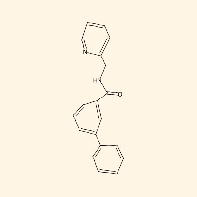 O=C(NCc1ccccn1)c1cccc(-c2ccccc2)c1